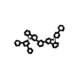 C1=CCCC(c2cc(-c3ccccc3)cc(-n3c4c(c5ccccc53)=CCC(c3cccc(C5=CC6c7ccccc7N(c7ccc(C8C=CCCC8)cc7)C6C=C5)c3)C=4)c2)=C1